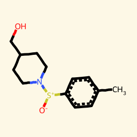 Cc1ccc([S+]([O-])N2CCC(CO)CC2)cc1